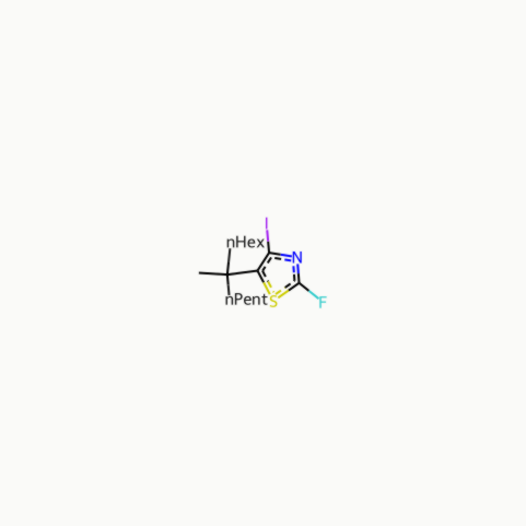 CCCCCCC(C)(CCCCC)c1sc(F)nc1I